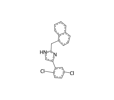 Clc1ccc(Cl)c(-c2c[nH]c(Cc3cccc4ccccc34)n2)c1